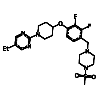 CCc1cnc(N2CCC(Oc3ccc(CN4CCN(S(C)(=O)=O)CC4)c(F)c3F)CC2)nc1